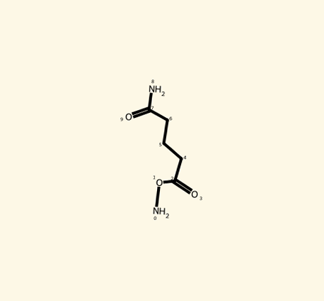 NOC(=O)CCCC(N)=O